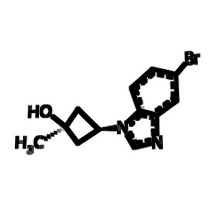 C[C@]1(O)C[C@@H](n2cnc3cc(Br)ccc32)C1